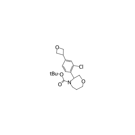 CC(C)(C)OC(=O)N1CCCOCC1c1ccc(C2COC2)cc1Cl